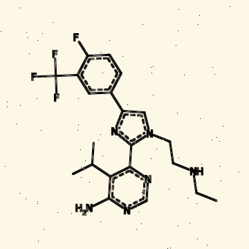 CCNCCn1cc(-c2ccc(F)c(C(F)(F)F)c2)nc1-c1ncnc(N)c1C(C)C